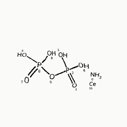 N.O=P(O)(O)OP(=O)(O)O.[Ce]